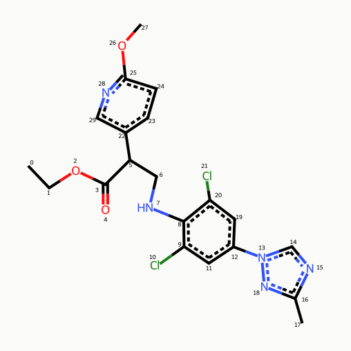 CCOC(=O)C(CNc1c(Cl)cc(-n2cnc(C)n2)cc1Cl)c1ccc(OC)nc1